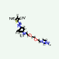 CCN(CCOCCOCCn1cc[n+](C)c1)c1ccc(/N=N/c2sc(C#N)c(C)c2C#N)c(C)c1